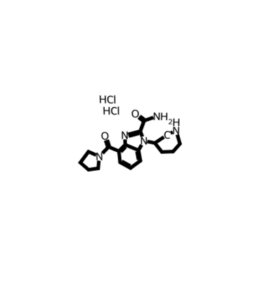 Cl.Cl.NC(=O)c1nc2c(C(=O)N3CCCC3)cccc2n1C1CCCNC1